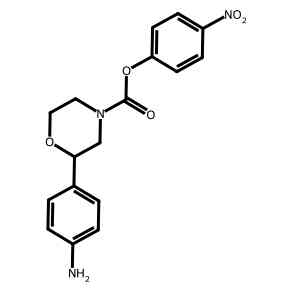 Nc1ccc(C2CN(C(=O)Oc3ccc([N+](=O)[O-])cc3)CCO2)cc1